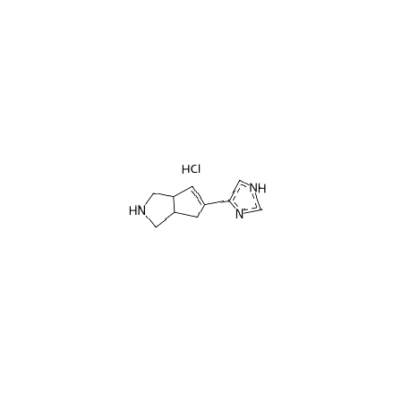 C1=C(c2c[nH]cn2)CC2CNCC12.Cl